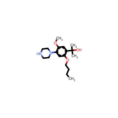 CCCCOc1cc(N2CCNCC2)c(OC)cc1C(C)(C)O